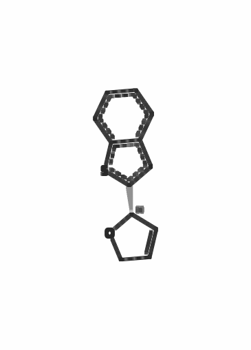 C1=C[C@@H](c2cc3ccccc3s2)OC1